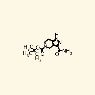 CC(C)(C)OC(=O)N1CCc2[nH]nc(C(N)=O)c2C1